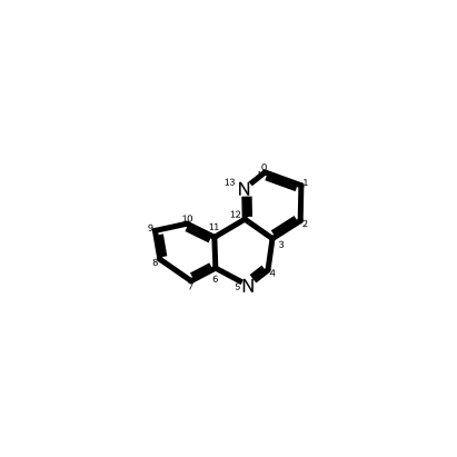 [c]1ccc2cnc3ccccc3c2n1